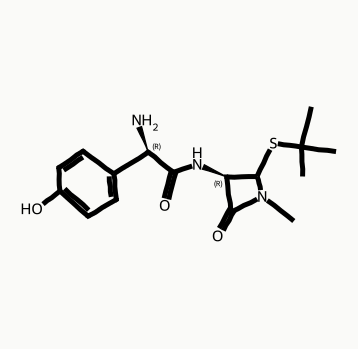 CN1C(=O)[C@@H](NC(=O)[C@H](N)c2ccc(O)cc2)C1SC(C)(C)C